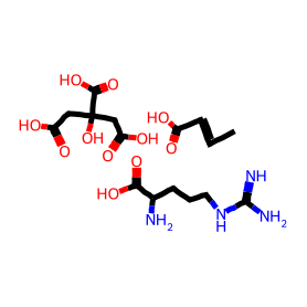 CC=CC(=O)O.N=C(N)NCCCC(N)C(=O)O.O=C(O)CC(O)(CC(=O)O)C(=O)O